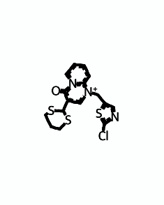 O=c1c(C2SCCCS2)c[n+](Cc2cnc(Cl)s2)c2ccccn12